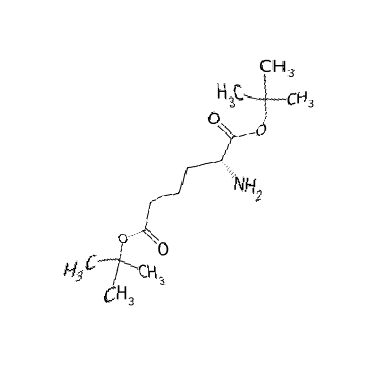 CC(C)(C)OC(=O)CCC[C@@H](N)C(=O)OC(C)(C)C